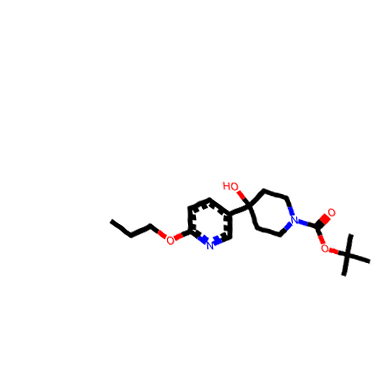 CCCOc1ccc(C2(O)CCN(C(=O)OC(C)(C)C)CC2)cn1